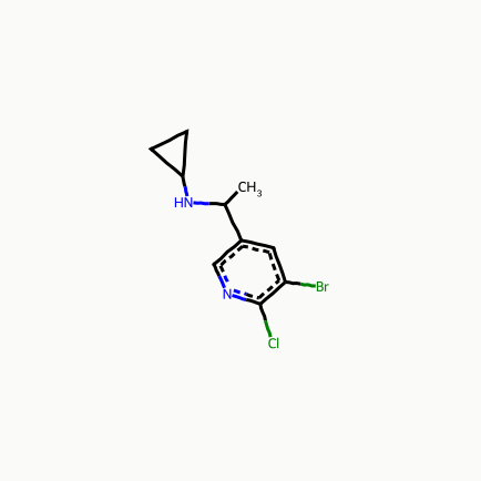 CC(NC1CC1)c1cnc(Cl)c(Br)c1